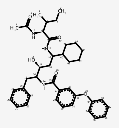 CCC(C)[C@H](NC(C)=O)C(=O)NC(C[C@H](O)C(Cc1ccccc1)NC(=O)c1cccc(Oc2ccccc2)c1)C1CCCCC1